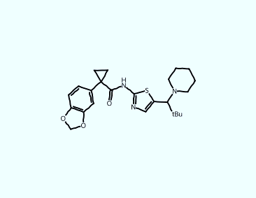 CC(C)(C)C(c1cnc(NC(=O)C2(c3ccc4c(c3)OCO4)CC2)s1)N1CCCCC1